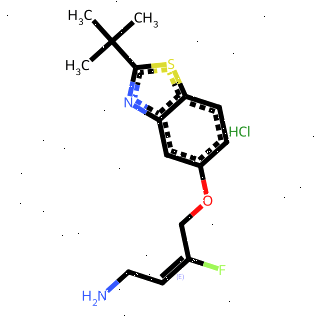 CC(C)(C)c1nc2cc(OC/C(F)=C\CN)ccc2s1.Cl